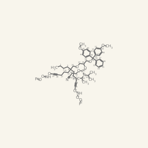 CCCCC(CCCC#CONOOF)(CCCC#CONOOF)COCC(COC(c1ccccc1)(c1ccc(OC)cc1)c1ccc(OC)cc1)OP(OCCC#N)N(C(C)C)C(C)C